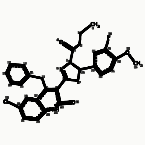 CCCC(=O)N1N=C(c2c(Cc3ccccc3)c3cc(Cl)ccc3[nH]c2=O)CC1c1ccc(OC)c(F)c1